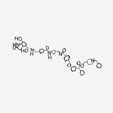 O=C(/N=C/C1CC(NC(=O)c2ccc(CCNC[C@H](O)c3ccc(O)c4[nH]c(=O)ccc34)cc2)C1)c1ccc(COc2cccc(C(C(=O)OCC3CCN(Cc4ccccc4)CC3)c3ccccc3)c2)cc1